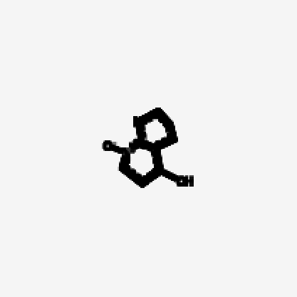 [O-][n+]1ccc(O)c2cccnc21